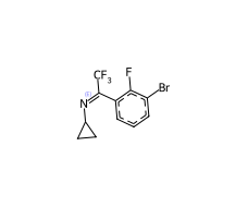 Fc1c(Br)cccc1/C(=N\C1CC1)C(F)(F)F